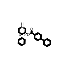 O=C(O[C@@H]1CNCC[C@H]1c1ccccc1)c1ccc(-c2ccccc2)cc1